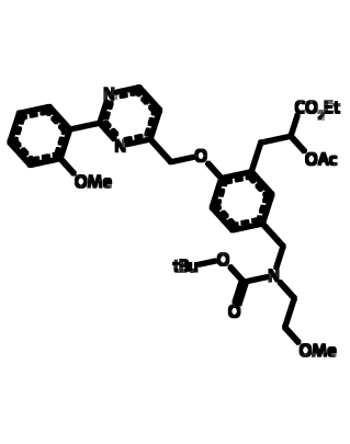 CCOC(=O)C(Cc1cc(CN(CCOC)C(=O)OC(C)(C)C)ccc1OCc1ccnc(-c2ccccc2OC)n1)OC(C)=O